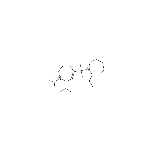 CC(C)C1=CCCCCN1C(C)(C)C1=CC(C(C)C)N(C(C)C)CCC1